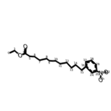 CCOC(=O)CCCCCCCCCCCc1cccc([N+](=O)[O-])c1